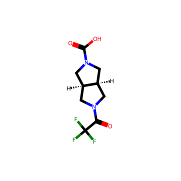 O=C(O)N1C[C@@H]2CN(C(=O)C(F)(F)F)C[C@@H]2C1